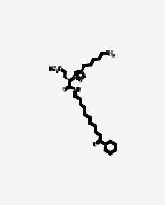 NCCCCCc1cn([C@@H](CCC(=O)O)C(=O)NCCCCCCCCCCC(=O)C2CCCCC2)nn1